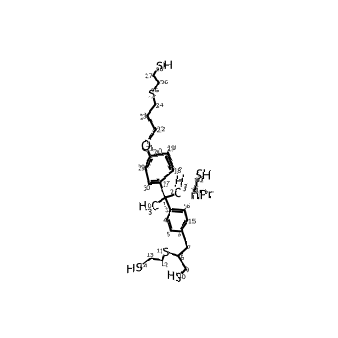 CC(C)(c1ccc(CC(CS)SCCS)cc1)c1ccc(OCCCSCCS)cc1.CCCS